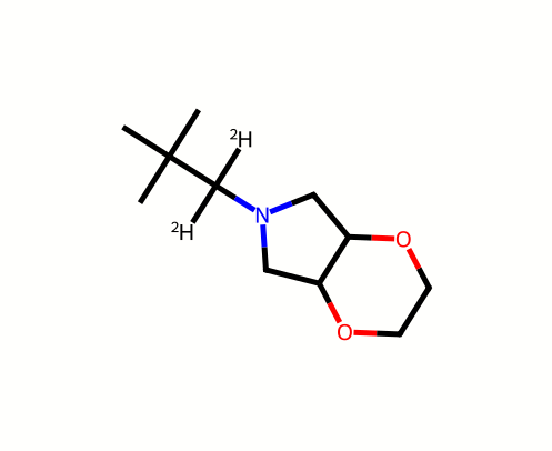 [2H]C([2H])(N1CC2OCCOC2C1)C(C)(C)C